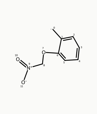 [CH2]c1ccccc1OC[N+](=O)[O-]